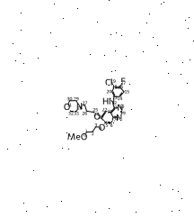 COCCCOc1cc2ncnc(Nc3ccc(F)c(Cl)c3)c2cc1OCCCN1CCOCC1